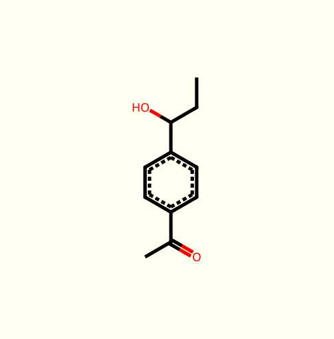 CCC(O)c1ccc(C(C)=O)cc1